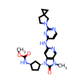 COC(=O)N[C@@H]1CC[C@@H](n2c(=O)n(C)c3cnc(Nc4ccnc(N5CCC6(CC6)C5)n4)cc32)C1